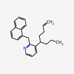 C=CCCC(CCC)c1cccnc1Cc1cccc2ccccc12